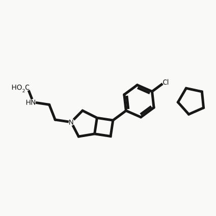 C1CCCC1.O=C(O)NCCN1CC2CC(c3ccc(Cl)cc3)C2C1